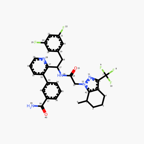 CC1CCCc2c(C(F)(F)F)nn(CC(=O)NC(Cc3cc(F)cc(F)c3)c3ncccc3-c3cccc(C(N)=O)c3)c21